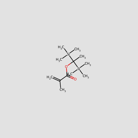 C=C(C)C(=O)OC(C)([Si](C)(C)C)[Si](C)(C)C